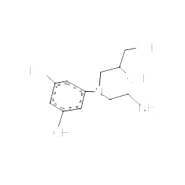 CCC(O)CN(CCN)c1cc(C)cc(C)c1